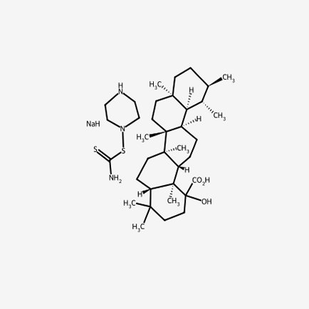 C[C@@H]1[C@H]2[C@H]3CC[C@@H]4[C@]5(C)[C@@H](CC[C@@]4(C)[C@]3(C)CC[C@@]2(C)CC[C@H]1C)C(C)(C)CCC5(O)C(=O)O.NC(=S)SN1CCNCC1.[NaH]